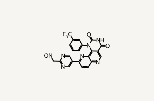 O=NCc1ncc(-c2ccc3ncc4c(=O)[nH]c(=O)n(-c5cccc(C(F)(F)F)c5)c4c3n2)cn1